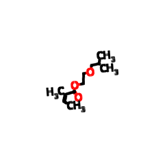 CC=C(C)C(=O)OCCOCC(C)C